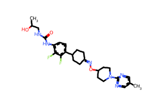 Cc1cnc(N2CCC(ON=C3CCC(c4ccc(NC(=O)NCC(C)O)c(F)c4F)CC3)CC2)nc1